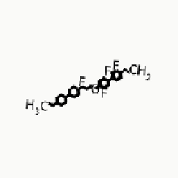 C=CCc1ccc(-c2ccc(OCCC(F)C3CCC(C4CCC(CCC)CC4)CC3)c(F)c2)c(F)c1F